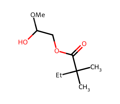 CCC(C)(C)C(=O)OCC(O)OC